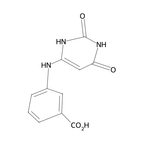 O=C(O)c1cccc(Nc2cc(=O)[nH]c(=O)[nH]2)c1